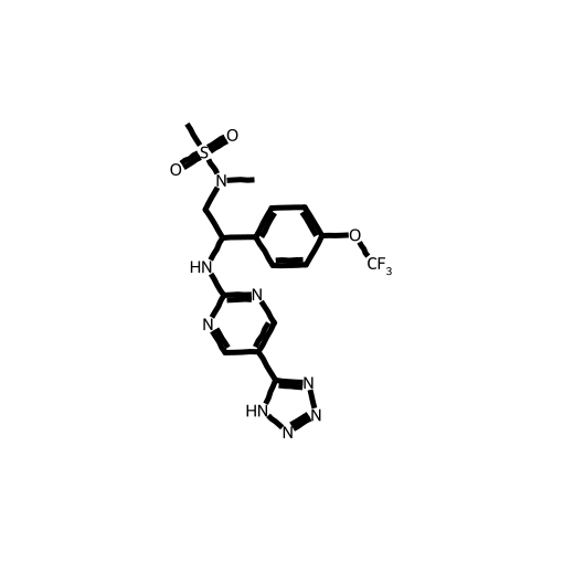 CN(CC(Nc1ncc(-c2nnn[nH]2)cn1)c1ccc(OC(F)(F)F)cc1)S(C)(=O)=O